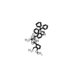 CCc1c(OC)cccc1C(=O)NN(C(=O)c1ccc2ncn(C(c3ccccc3)(c3ccccc3)c3ccccc3)c2c1)C(C)(C)C